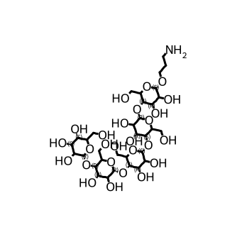 NCCCO[C@H]1OC(CO)[C@H](O[C@H]2OC(CO)[C@@H](O[C@@H]3OC(CO)[C@@H](O[C@H]4OC(CO)[C@H](O[C@H]5OC(CO)[C@@H](O)[C@H](O)C5O)[C@H](O)C4O)[C@H](O)C3O)[C@H](O)C2O)[C@H](O)C1O